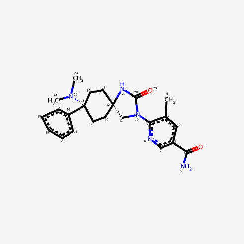 Cc1cc(C(N)=O)cnc1N1C[C@]2(CC[C@@](c3ccccc3)(N(C)C)CC2)NC1=O